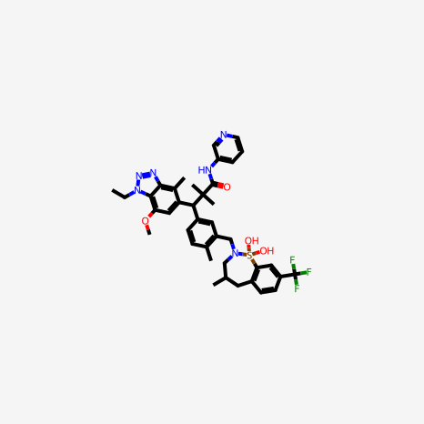 CCn1nnc2c(C)c(C(c3ccc(C)c(CN4CC(C)Cc5ccc(C(F)(F)F)cc5S4(O)O)c3)C(C)(C)C(=O)Nc3cccnc3)cc(OC)c21